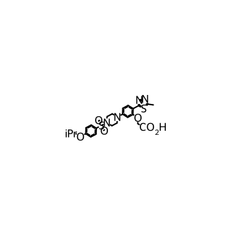 Cc1nnc(-c2ccc(N3CCN(S(=O)(=O)c4ccc(OC(C)C)cc4)CC3)cc2OCC(=O)O)s1